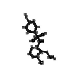 NCc1c(Cl)cccc1NS(=O)(=O)c1ccc(F)cc1